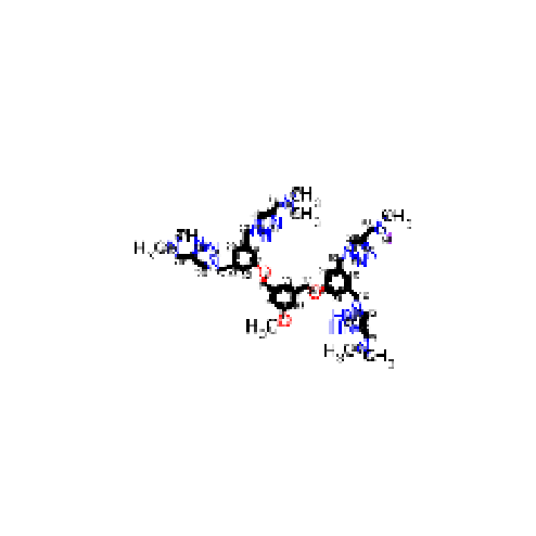 COc1cc(COc2cc(Cn3cc(CN(C)C)nn3)cc(Cn3cc(CN(C)C)nn3)c2)cc(COc2cc(CN3C=C(CN(C)C)NN3)cc(Cn3cc(CN(C)I)nn3)c2)c1